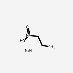 CCC[PH](=O)O.[NaH]